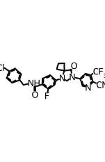 N#Cc1ncc(N2CN(c3ccc(C(=O)NCc4ccc(Cl)cc4)c(F)c3)C3(CCC3)C2=O)cc1C(F)(F)F